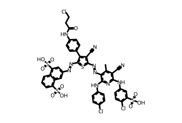 Cc1c(C#N)c(Nc2ccc(Cl)c(S(=O)(=O)O)c2)nc(Nc2ccc(Cl)cc2)c1N=Nc1sc(/N=N/c2cc(S(=O)(=O)O)c3cccc(S(=O)(=O)O)c3c2)c(-c2ccc(NC(=O)CCCl)cc2)c1C#N